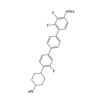 CCCCCCc1ccc(-c2ccc(-c3ccc(C4CCC(CCC)CC4)c(F)c3)cc2)c(F)c1F